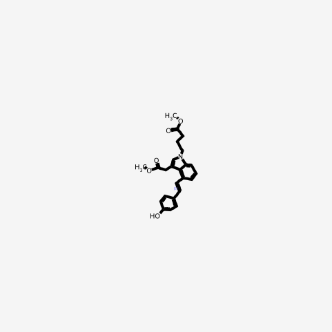 COC(=O)CCCn1cc(CC(=O)OC)c2c(/C=C/c3ccc(O)cc3)cccc21